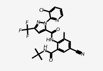 Cc1cc(C#N)cc(C(=O)NC(C)(C)C)c1NC(=O)c1cc(C(F)(F)F)nn1-c1ncccc1Cl